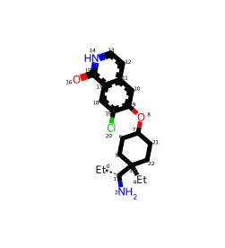 CC[C@@H](N)C1(CC)CCC(Oc2cc3cc[nH]c(=O)c3cc2Cl)CC1